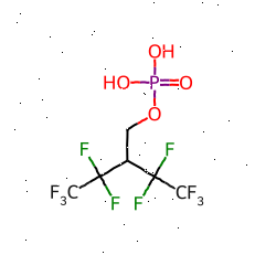 O=P(O)(O)OCC(C(F)(F)C(F)(F)F)C(F)(F)C(F)(F)F